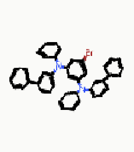 Brc1cc(N(c2ccccc2)c2cccc(-c3ccccc3)c2)cc(N(c2ccccc2)c2cccc(-c3ccccc3)c2)c1